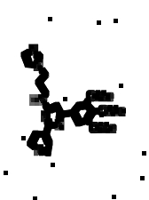 COc1cc(-c2cc(NCCCn3ccnc3)nc(-c3ccncc3)n2)cc(OC)c1OC